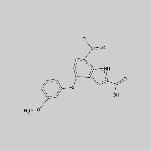 COc1cccc(Sc2ccc([N+](=O)[O-])c3[nH]c(C(=O)O)cc23)c1